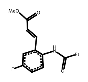 CCC(=O)Nc1ccc(F)cc1C=CC(=O)OC